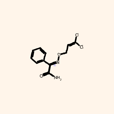 NC(=O)/C(=N/OCC=C(Cl)Cl)c1ccccc1